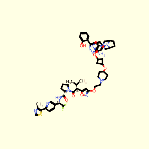 Cc1ncsc1-c1ccc([C@@H](NC(=O)[C@@H]2CCCN2C(=O)[C@@H](c2cc(OCCN3CCC(OC4CC(Oc5cc(N6C7CCC6CN(c6cc(-c8ccccc8O)nnc6N)C7)ccn5)C4)CC3)no2)C(C)C)C(F)F)cn1